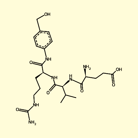 CC(C)[C@H](NC(=O)[C@@H](N)CCC(=O)O)C(=O)N[C@@H](CCCNC(N)=O)C(=O)Nc1ccc(CO)cc1